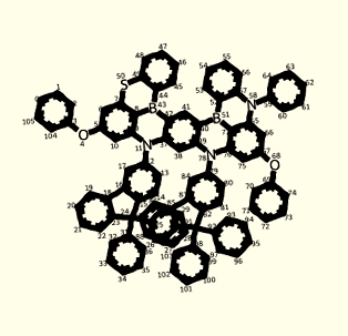 c1ccc(Oc2cc3c4c(c2)N(c2ccc5c(c2)-c2ccccc2C5(c2ccccc2)c2ccccc2)c2cc5c(cc2B4c2ccccc2S3)B2c3ccccc3N(c3ccccc3)c3cc(Oc4ccccc4)cc(c32)N5c2ccc3c(c2)-c2ccccc2C3(c2ccccc2)c2ccccc2)cc1